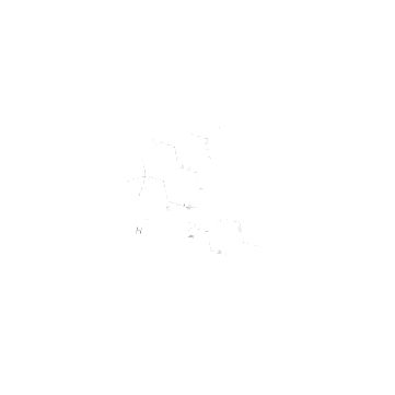 Cc1ccc([S@+]([O-])N[C@H](C#N)C2c3c(F)cc(F)cc3OCC23CC3)cc1